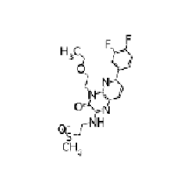 CCOCCn1c(=O)c(NCC[S+](C)[O-])nc2ccc(-c3ccc(F)c(F)c3)nc21